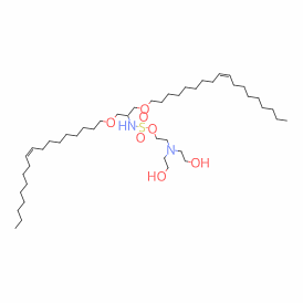 CCCCCCCC/C=C\CCCCCCCCOCC(COCCCCCCCC/C=C\CCCCCCCC)NS(=O)(=O)OCCN(CCO)CCO